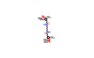 CC(C)(C)OC(=O)Oc1c(C(C)(C)C)cc(CCC(=O)NCCCCCCNC(=O)CCc2cc(C(C)(C)C)c(OC(=O)OC(C)(C)C)c(C(C)(C)C)c2)cc1C(C)(C)C